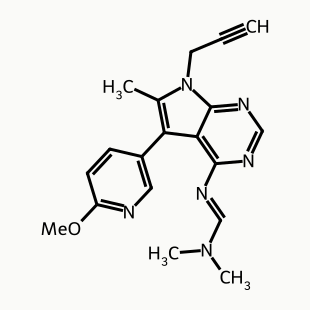 C#CCn1c(C)c(-c2ccc(OC)nc2)c2c(N=CN(C)C)ncnc21